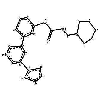 O=C(NCC1CCCCC1)Oc1cccc(-c2cncc(-c3cccs3)c2)c1